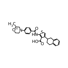 C[C@H]1CN(c2ccc(C(=O)Nc3scc(C4CCc5ccccc5C4)c3C(=O)O)cc2)CCO1